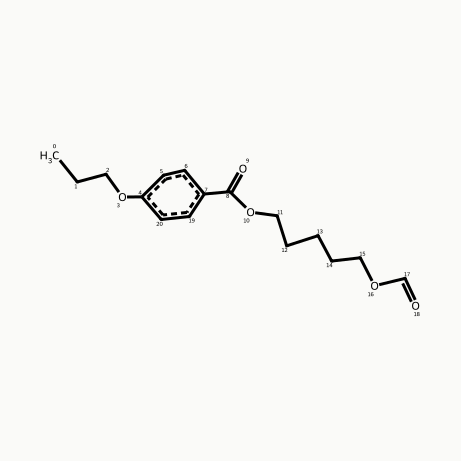 CCCOc1ccc(C(=O)OCCCCCOC=O)cc1